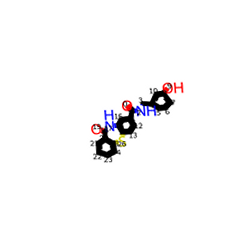 O=C(NCc1cccc(O)c1)c1ccc2c(c1)NC(=O)c1ccccc1S2